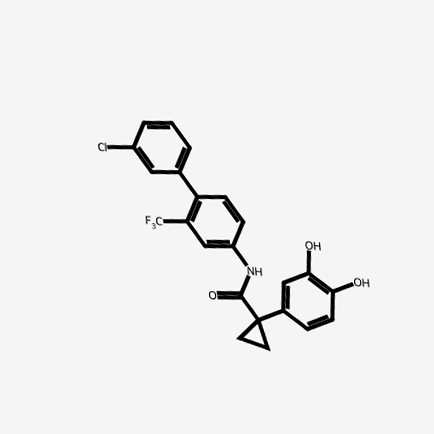 O=C(Nc1ccc(-c2cccc(Cl)c2)c(C(F)(F)F)c1)C1(c2ccc(O)c(O)c2)CC1